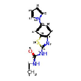 CCNC(=O)Nc1nc2ccc(-n3cccc3)cc2s1